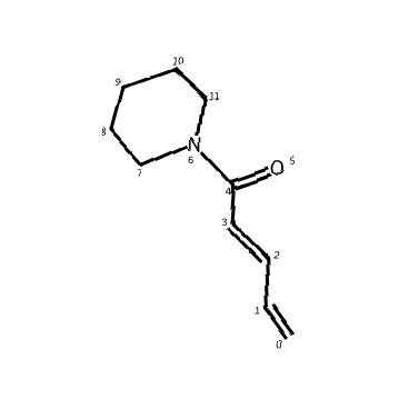 C=CC=CC(=O)N1CCCCC1